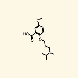 COc1ccc(OCCCN(C)C(C)C)c(C(=O)O)c1